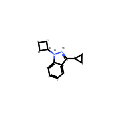 c1ccc2c(c1)c(C1CC1)nn2C1CCC1